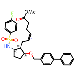 COC(=O)CC/C=C\C[C@@H]1[C@@H](NS(=O)(=O)c2ccc(F)cc2)CC[C@@H]1OCc1ccc(-c2ccccc2)cc1